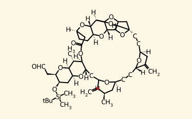 C=C1C[C@@H]2CC[C@@]34CC5OC6[C@@H](O3)[C@H]3O[C@H](CC[C@@H]3O[C@H]6[C@H]5O4)CC(=O)O[C@@H]3[C@@H](C)[C@@H]4O[C@H](CC=O)[C@H](O[Si](C)(C)C(C)(C)C)C[C@@H]4O[C@H]3C[C@H]3O[C@@H](CC[C@@H]1O2)C[C@@H](C)C3=C